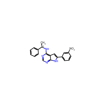 C[C@@H](Nc1ncnc2[nH]c(-c3cccc([N+](=O)[O-])c3)cc12)c1ccccc1